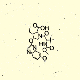 CC[C@@H]1[C@@H](Oc2cnc3ccc(OC)cc3n2)CN(C(=O)[C@@H](NC(=O)OC)C(C)(C)C)[C@@H]1C(=O)O